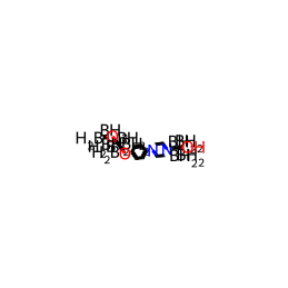 BC(B)(B)OC(B)(B)C(B)(B)Oc1ccc(N2CCN(C(B)(B)C(B)(B)O)CC2)cc1